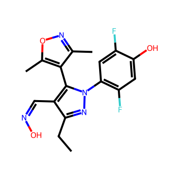 CCc1nn(-c2cc(F)c(O)cc2F)c(-c2c(C)noc2C)c1/C=N\O